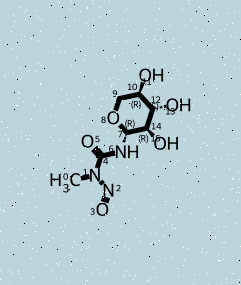 CN(N=O)C(=O)N[C@@H]1OC[C@@H](O)[C@H](O)[C@H]1O